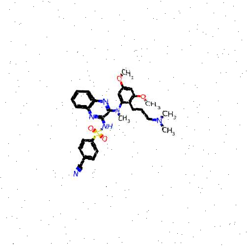 COc1cc(OC)c(CCCN(C)C)c(N(C)c2nc3ccccc3nc2NS(=O)(=O)c2ccc(C#N)cc2)c1